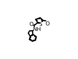 O=Cc1ccc(C(=O)N[C@@H]2CCc3ccccc32)s1